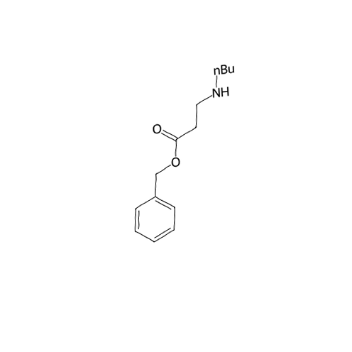 CCCCNCCC(=O)OCc1ccccc1